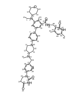 CCN(c1cc(-c2ccc(N3CCC(N(C)Cc4ccc(N5CCC(=O)NC5=O)cn4)CC3)cc2)cc(C(=O)NCc2c(C)cc(C)[nH]c2=O)c1C)C1CCOCC1